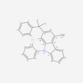 CC1(C)c2ccccc2B2c3ccccc3-n3c4ccccc4c4c(C#N)cc1c2c43